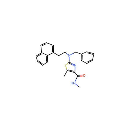 CNC(=O)c1nc(N(CCc2cccc3ccccc23)Cc2ccccc2)sc1C